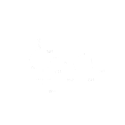 CC(C)(C)CC(C)(C)C1OC(C)(C)CC(=O)NC(COC2CC(C)(C)CC(O)C(O)C2O)C1O